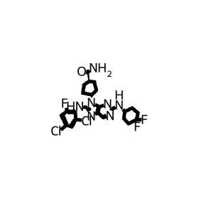 NC(=O)[C@H]1CC[C@H](n2c(Nc3c(F)cc(Cl)cc3Cl)nc3cnc(NC4CCC(F)(F)CC4)nc32)CC1